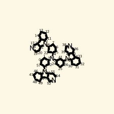 c1cc(N(c2cccc(-n3c4ccccc4c4cnccc43)c2)c2cccc(-n3c4ccccc4c4cnccc43)c2)cc(-n2c3ccccc3c3cnccc32)c1